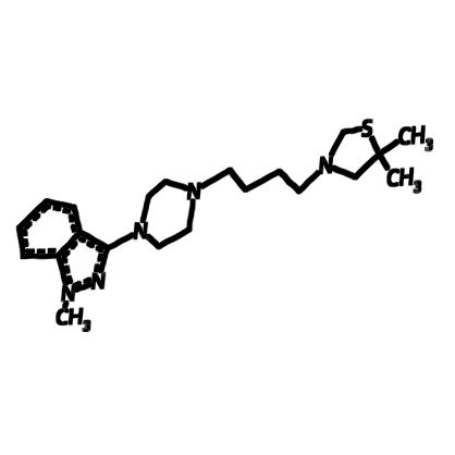 Cn1nc(N2CCN(CCCCN3CSC(C)(C)C3)CC2)c2ccccc21